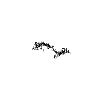 CC(=O)c1c(C)c2cnc(Nc3ccc(N4CCN(CC(=O)NCCOCCOCCC(=O)Nc5cc(Br)ccc5C(=O)Nc5nc(C)c(C)s5)CC4)cn3)nc2n(C2CCCC2)c1=O